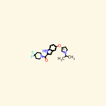 CC(C)N1CC[C@@H](Oc2ccc3[nH]c(C(=O)N4CCC(F)(F)CC4)cc3c2)C1